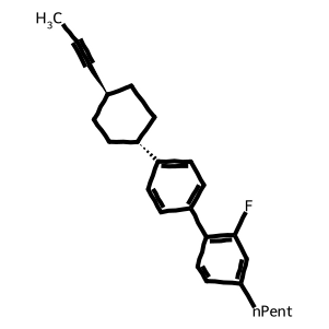 CC#C[C@H]1CC[C@H](c2ccc(-c3ccc(CCCCC)cc3F)cc2)CC1